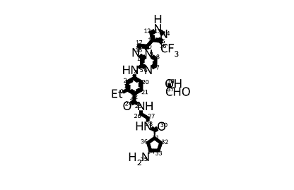 CCc1cc(Nc2nccn3c(-c4c[nH]nc4C(F)(F)F)cnc23)ccc1C(=O)NCCNC(=O)[C@H]1CC[C@H](N)C1.O=CO